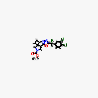 CC(C)(C)OC(=O)N1CC(c2nnc(C(F)(F)c3ccc(Cl)c(Cl)c3)o2)C2(CCC2)C1